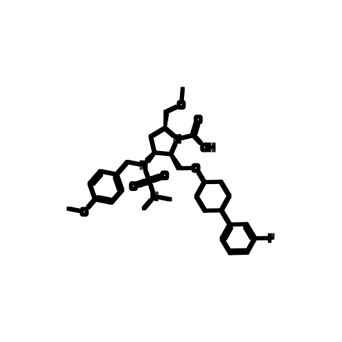 COC[C@@H]1C[C@H](N(Cc2ccc(OC)cc2)S(=O)(=O)N(C)C)[C@H](COC2CCC(c3cccc(F)c3)CC2)N1C(=O)O